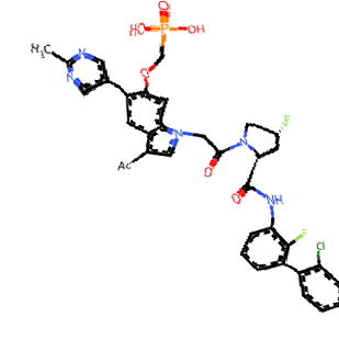 CC(=O)c1cn(CC(=O)N2C[C@H](F)C[C@H]2C(=O)Nc2cccc(-c3ccccc3Cl)c2F)c2cc(OCP(=O)(O)O)c(-c3cnc(C)nc3)cc12